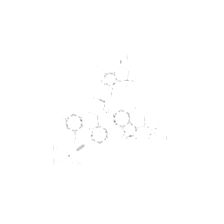 C[C@H]1CC(F)(F)c2c1c(C(F)(F)F)nn2CC(=O)NC(Cc1cc(F)cc(F)c1)c1nc(C#CC(C)(C)O)ccc1-c1ccc(Cl)c2c(NS(C)(=O)=O)n[nH]c12